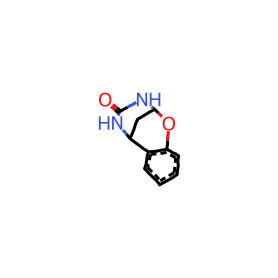 O=C1NC2CC(N1)c1ccccc1O2